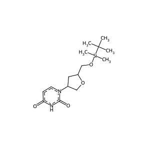 CC(C)(C)[Si](C)(C)OCC1CC(n2ccc(=O)[nH]c2=O)CO1